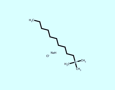 CCCCCCCCCC[N+](C)(C)C.[Cl-].[NaH]